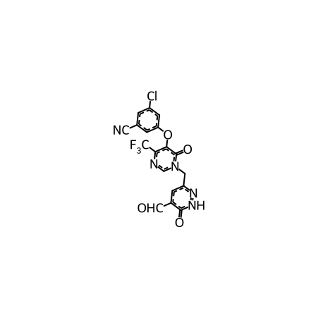 N#Cc1cc(Cl)cc(Oc2c(C(F)(F)F)ncn(Cc3cc(C=O)c(=O)[nH]n3)c2=O)c1